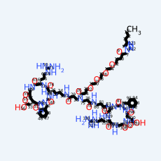 CCCCc1cn(CC(=O)CCCOCCOCCOCCOCCC(=O)N(CCC(=O)NCCCC[C@@H]2NC(=O)N(Cc3ccccc3)NC(=O)[C@H](CC(=O)O)CC(=O)CNC(=O)[C@H](CCCNC(=N)N)NC2=O)CCC(=O)NCCCC[C@@H]2NC(=O)N(Cc3ccccc3)NC(=O)[C@H](CC(=O)O)NC(=O)CNC(=O)[C@H](CCCNC(=N)N)NC2=O)nn1